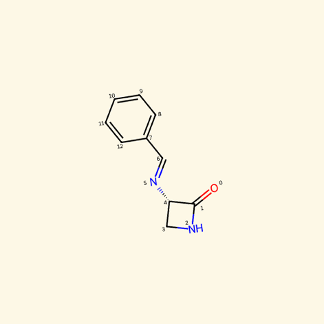 O=C1NC[C@@H]1N=Cc1ccccc1